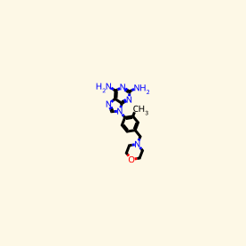 Cc1cc(CN2CCOCC2)ccc1-n1cnc2c(N)nc(N)nc21